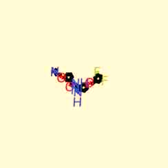 CN(C)CCOc1cccc(C(=O)Nc2n[nH]c3ccc(OCc4cc(F)cc(F)c4)cc23)c1